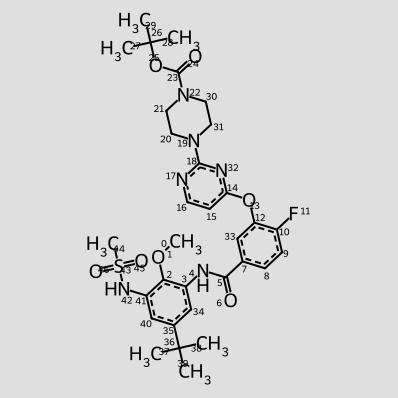 COc1c(NC(=O)c2ccc(F)c(Oc3ccnc(N4CCN(C(=O)OC(C)(C)C)CC4)n3)c2)cc(C(C)(C)C)cc1NS(C)(=O)=O